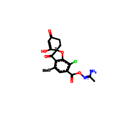 COc1cc(C(=O)O/N=C(/C)N)c(Cl)c2c1C(=O)[C@@]1(CCC(=O)C=C1O)O2